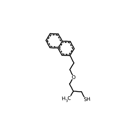 CC(CS)COCCc1ccc2ccccc2c1